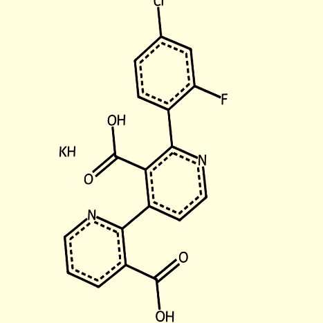 O=C(O)c1cccnc1-c1ccnc(-c2ccc(Cl)cc2F)c1C(=O)O.[KH]